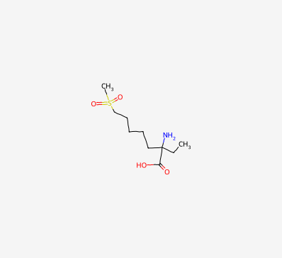 CCC(N)(CCCCCS(C)(=O)=O)C(=O)O